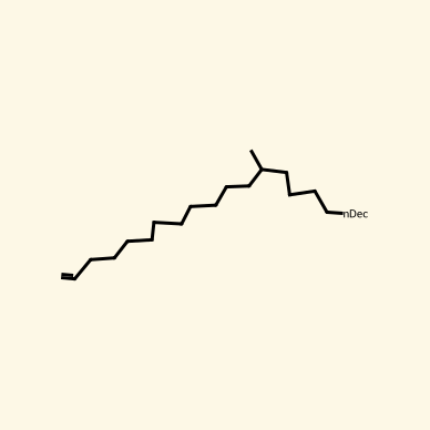 C=CCCCCCCCCCCC(C)CCCCCCCCCCCCCC